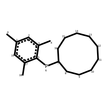 Cc1cc(C)c([P]C2CCCCCCCCC2)c(C)c1